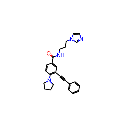 O=C(NCCCn1ccnc1)c1ccc(N2CCCC2)c(C#Cc2ccccc2)c1